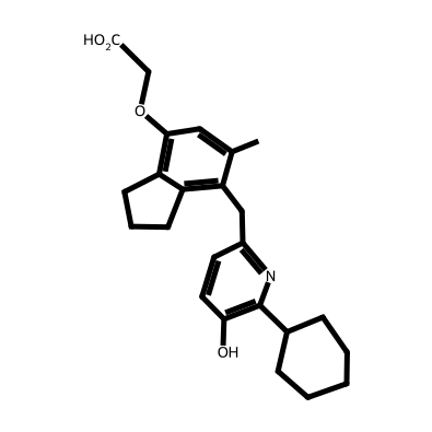 Cc1cc(OCC(=O)O)c2c(c1Cc1ccc(O)c(C3CCCCC3)n1)CCC2